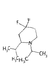 CC(C)C1CC(F)(F)CCN1C(C)C